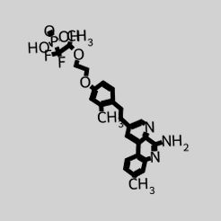 Cc1ccc2c(c1)nc(N)c1ncc(CCc3ccc(OCCOC(C)C(F)(F)P(=O)(O)O)cc3C)cc12